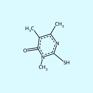 Cc1nc(S)n(C)c(=O)c1C